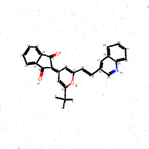 CC(C)(C)C1=CC(=C2C(=O)c3ccccc3C2=O)C=C(C=Cc2cnc3ccccc3c2)O1